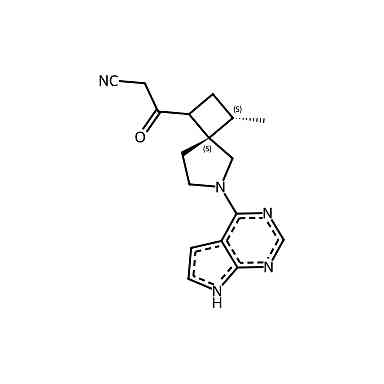 C[C@H]1CC(C(=O)CC#N)[C@]12CCN(c1ncnc3[nH]ccc13)C2